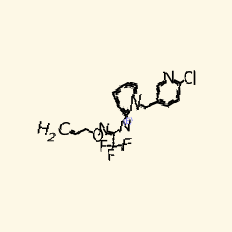 C=CCON=C(/N=c1\ccccn1Cc1ccc(Cl)nc1)C(F)(F)F